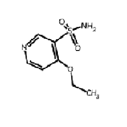 CCOc1ccncc1S(N)(=O)=O